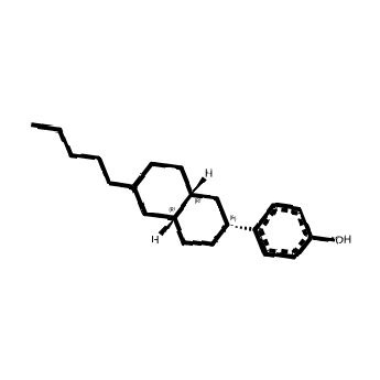 CCCCCC1CC[C@@H]2C[C@H](c3ccc(O)cc3)CC[C@@H]2C1